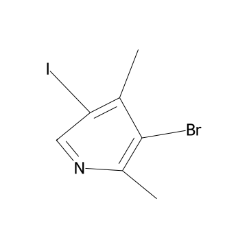 Cc1ncc(I)c(C)c1Br